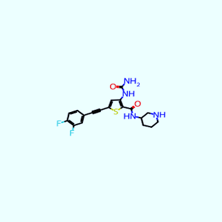 NC(=O)Nc1cc(C#Cc2ccc(F)c(F)c2)sc1C(=O)NC1CCCNC1